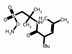 CC(C)=CC(C(=O)NC(C)(C)CS(=O)(=O)ON)C(C)(C)C